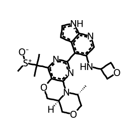 C[C@@H]1COC[C@H]2COc3c(nc(-c4c(NC5COC5)cnc5[nH]ccc45)nc3C(C)(C)[S+](C)[O-])N21